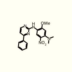 COc1cc(N(C)C)c([N+](=O)[O-])cc1Nc1nccc(-c2ccccc2)n1